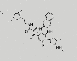 CN1CCCC1CCNC(=O)c1cn2c3c(c(N4CCC(N)C4)c(F)cc3c1=O)Nc1cc3ccccc3cc1-2